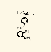 C=C(C)c1ccc(CNc2cccc(N)c2CC)cc1